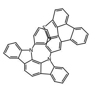 c1ccc(-n2c3ccccc3c3ccc4c5ccccc5n(-c5cc6sc7cccc8c9ccccc9c(c5)c6c78)c4c32)cc1